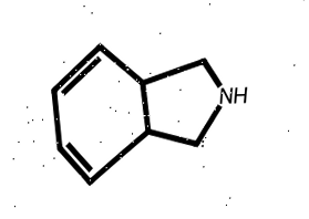 [C]1NCC2C=CC=CC12